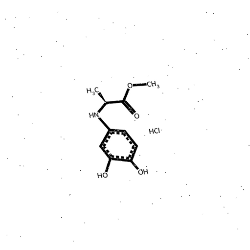 COC(=O)[C@H](C)Nc1ccc(O)c(O)c1.Cl